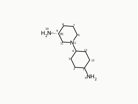 NC1CCC(N2CCC[C@@H](N)C2)CC1